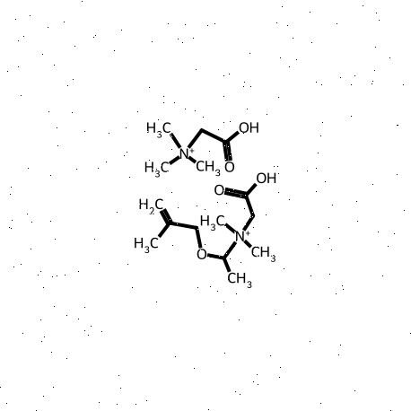 C=C(C)COC(C)[N+](C)(C)CC(=O)O.C[N+](C)(C)CC(=O)O